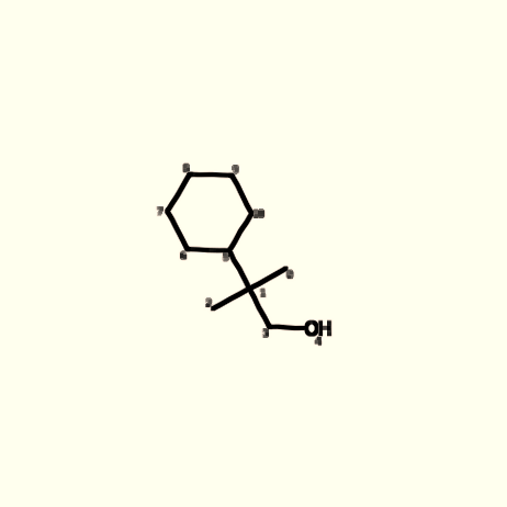 CC(C)(CO)[C]1CCCCC1